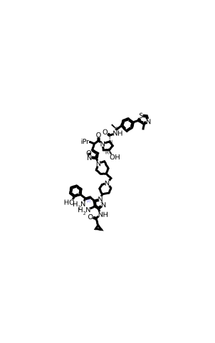 Cc1ncsc1-c1ccc([C@H](C)NC(=O)[C@@H]2C[C@@H](O)CN2C(=O)C(c2cc(N3CCC(CN4CCC(n5nc(NC(=O)C6CC6)c(N)c5/C=C(\N)c5ccccc5O)CC4)CC3)no2)C(C)C)cc1